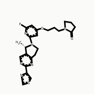 C[C@H]1c2cnc(-c3cscn3)nc2CCN1c1cc(OCCCN2CCCC2=O)cc(F)n1